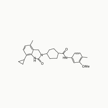 COc1cc(NC(=O)C2CCC(N3Cc4c(C)ccc(C5CC5)c4NC3=O)CC2)ccc1C